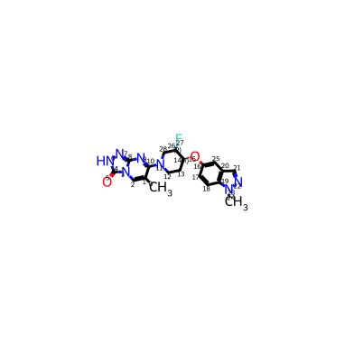 Cc1cn2c(=O)[nH]nc2nc1N1CC[C@@H](Oc2ccc3c(cnn3C)c2)[C@H](F)C1